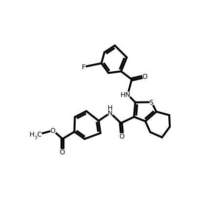 COC(=O)c1ccc(NC(=O)c2c(NC(=O)c3cccc(F)c3)sc3c2CCCC3)cc1